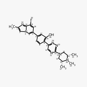 Cc1cn2cc(-c3ccc(-c4cnc(N5C[C@@H](C)N(C)[C@@H](C)C5)nn4)c(O)c3)cc(F)c2n1